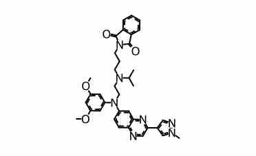 COc1cc(OC)cc(N(CCN(CCCN2C(=O)c3ccccc3C2=O)C(C)C)c2ccc3ncc(-c4cnn(C)c4)nc3c2)c1